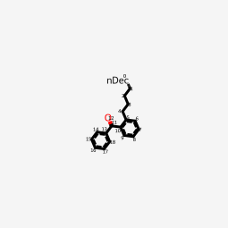 CCCCCCCCCCCCCCc1ccccc1C(=O)c1ccccc1